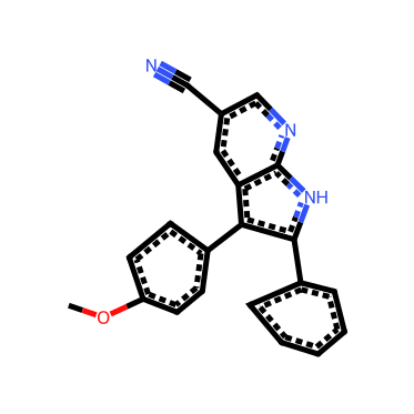 COc1ccc(-c2c(-c3ccccc3)[nH]c3ncc(C#N)cc23)cc1